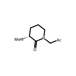 CN[C@@H]1CCCN(CC(C)=O)C1=O